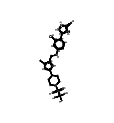 Cc1nc(C2CCN(S(=O)(=O)C(F)(F)F)CC2)sc1COc1ccc(-c2noc(=O)[nH]2)c(Cl)c1